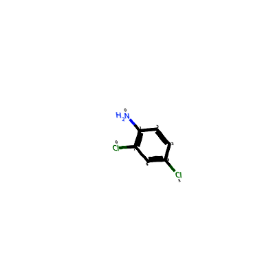 Nc1c[c]c(Cl)cc1Cl